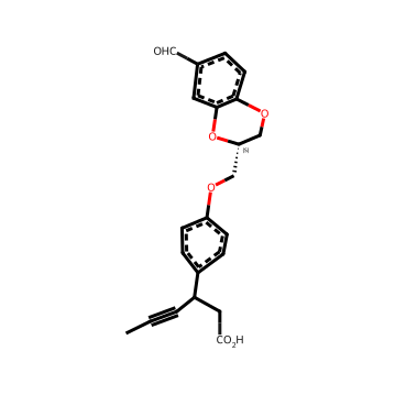 CC#CC(CC(=O)O)c1ccc(OC[C@H]2COc3ccc(C=O)cc3O2)cc1